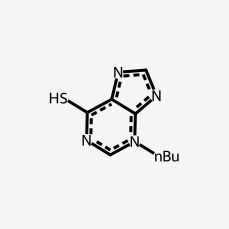 CCCCn1cnc(S)c2ncnc1-2